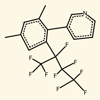 Cc1[c]c(C)c(-c2cccnc2)c(C(F)(C(F)(F)F)C(F)(F)C(F)(F)F)c1